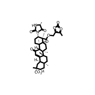 Cc1oc(=O)oc1COC(=O)[C@]1(C)[C@@H](N2C(=O)N[C@H](C)C2=O)CC[C@@]2(C)[C@H]1CC[C@]1(C)[C@@H]2C(=O)C=C2[C@@H]3C[C@@](C)(C(=O)O)CC[C@]3(C)CC[C@]21C